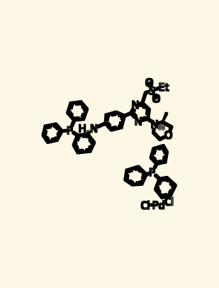 CCS(=O)(=O)Cc1cc(N2CCOC[C@@H]2C)nc(-c2ccc(N)cc2)n1.[Cl][Pd][Cl].c1ccc(P(c2ccccc2)c2ccccc2)cc1.c1ccc(P(c2ccccc2)c2ccccc2)cc1